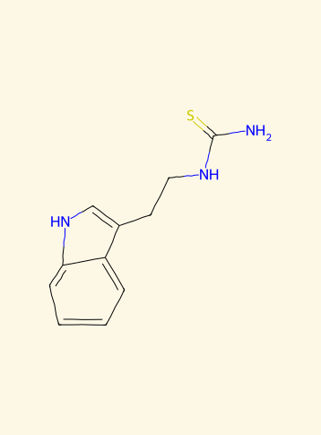 NC(=S)NCCc1c[nH]c2ccccc12